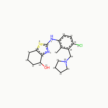 Cc1c(Nc2nc3c(s2)CCCC3O)ccc(Cl)c1CN1CCCC1